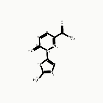 Cc1ncc(-n2nc(C(N)=O)ccc2=O)s1